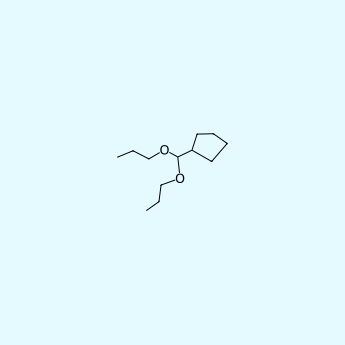 CCCOC(OCCC)C1CCCC1